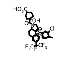 Cc1ccc(S(=O)(=O)C23CCN(C(=O)[C@]4(O)CC[C@@H](C(=O)O)CC4)C2CCc2cc(C(F)(C(F)(F)F)C(F)(F)F)ccc23)cc1Cl